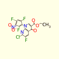 CCOC(=O)c1cn(-c2c(F)cc(F)c([N+](=O)[O-])c2F)c2nc(Cl)c(F)cc2c1=O